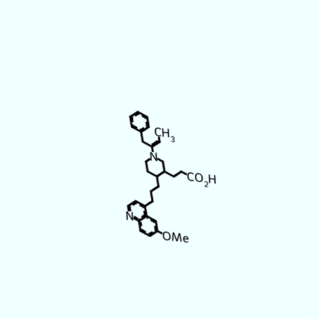 CC=C(Cc1ccccc1)N1CCC(CCCc2ccnc3ccc(OC)cc23)C(CCC(=O)O)C1